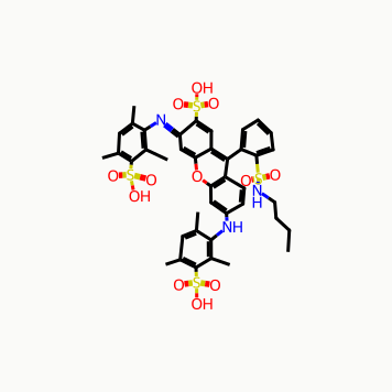 CCCCNS(=O)(=O)c1ccccc1-c1c2cc(S(=O)(=O)O)/c(=N/c3c(C)cc(C)c(S(=O)(=O)O)c3C)cc-2oc2cc(Nc3c(C)cc(C)c(S(=O)(=O)O)c3C)ccc12